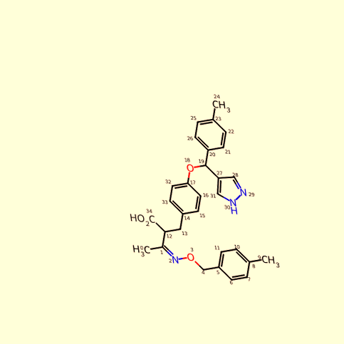 CC(=NOCc1ccc(C)cc1)C(Cc1ccc(OC(c2ccc(C)cc2)c2cn[nH]c2)cc1)C(=O)O